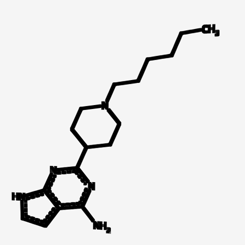 CCCCCCN1CCC(c2nc(N)c3cc[nH]c3n2)CC1